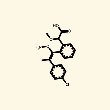 COC(C(=O)O)c1ccccc1/C(ON)=C(/C)c1ccc(Cl)cc1